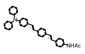 CC(=O)Nc1ccc(/C=C/c2ccc(/C=C/c3ccc(N(c4ccccc4)c4ccccc4)cc3)cc2)cc1